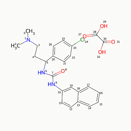 CN(C)CCC(NC(=O)Nc1ccc2ccccc2c1)c1ccc(Cl)cc1.O=C(O)C(=O)O